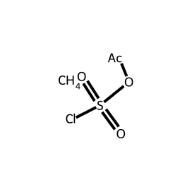 C.CC(=O)OS(=O)(=O)Cl